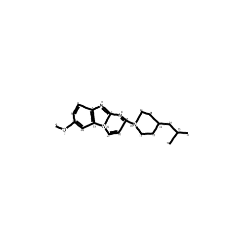 COc1ccc2nc3nc(N4CCC(CC(C)C)CC4)ccn3c2c1